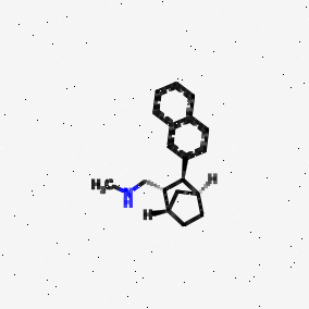 CNC[C@H]1[C@H]2CC[C@@H](C2)[C@@H]1c1ccc2ccccc2c1